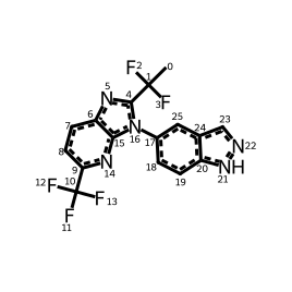 CC(F)(F)c1nc2ccc(C(F)(F)F)nc2n1-c1ccc2[nH]ncc2c1